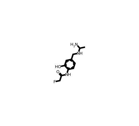 CC(N)NCc1ccc(NC(=O)CF)c(O)c1